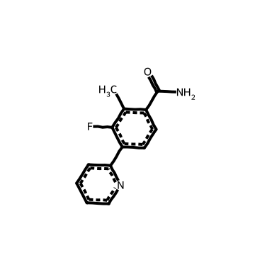 Cc1c(C(N)=O)ccc(-c2ccccn2)c1F